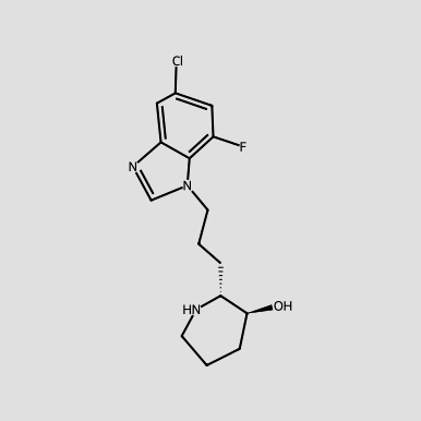 O[C@H]1CCCN[C@@H]1CCCn1cnc2cc(Cl)cc(F)c21